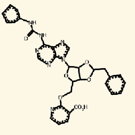 O=C(Nc1ccccc1)Nc1ncnc2c1ncn2C1OC(COc2ncccc2C(=O)O)C2OC(Cc3ccccc3)OC21